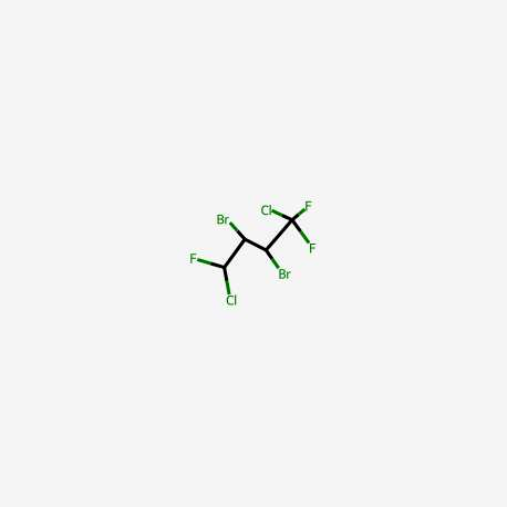 FC(Cl)C(Br)C(Br)C(F)(F)Cl